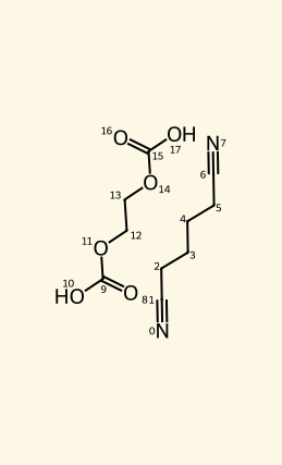 N#CCCCCC#N.O=C(O)OCCOC(=O)O